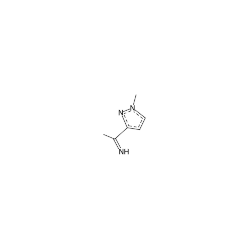 CC(=N)c1ccn(C)n1